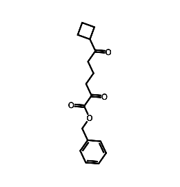 O=C(CCCC(=O)C1CCC1)C(=O)OCc1ccccc1